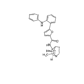 C[C@H]1[C@H](NC(=O)c2ccc(-c3ccccc3Nc3ccccc3)o2)C2CCN1CC2